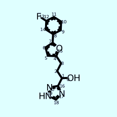 OC(CCc1ccc(-c2cccc(F)c2)o1)c1nc[nH]n1